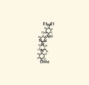 CCN(CC)c1ccc(Nc2ccnc(N3CCN(c4ccc(OC)cc4)C(C)C3)n2)c(C)c1